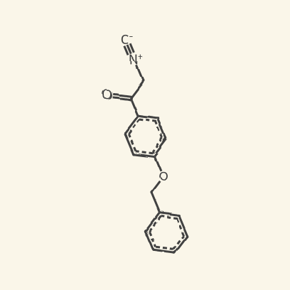 [C-]#[N+]CC(=O)c1ccc(OCc2ccccc2)cc1